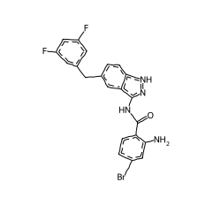 Nc1cc(Br)ccc1C(=O)Nc1n[nH]c2ccc(Cc3cc(F)cc(F)c3)cc12